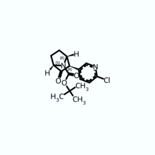 CC(C)(C)OC(=O)N1[C@@H]2CC[C@H]1C(=O)[C@@H]2c1ccc(Cl)nc1